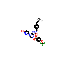 CCCc1ccc(CNC(=O)[C@H]2CN(c3ccc(O)nn3)CCN2S(=O)(=O)c2ccc(OC(F)(F)F)cc2)cc1